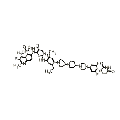 CCc1cc(Nc2ncc(Cl)c(Nc3ccc4nc(C)c(F)cc4c3P(C)(C)=O)n2)c(OC)cc1N1CCC(N2CCC(N3CCN(c4cc(F)c([C@H]5CCC(=O)NC5=O)c(F)c4)CC3)CC2)CC1